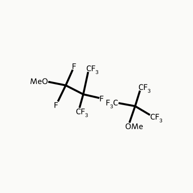 COC(C(F)(F)F)(C(F)(F)F)C(F)(F)F.COC(F)(F)C(F)(C(F)(F)F)C(F)(F)F